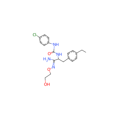 CCc1ccc(CC(NC(=O)Nc2ccc(Cl)cc2)C(N)=NOCCO)cc1